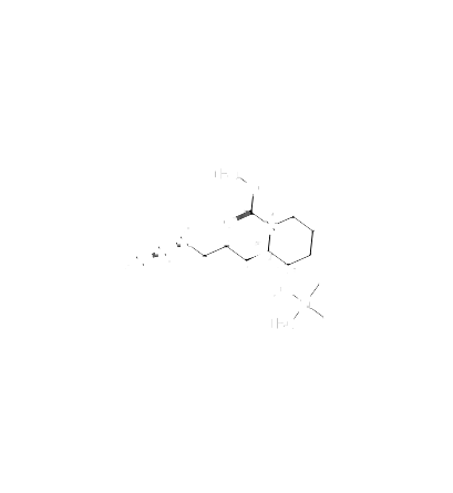 CC(C)(C)OC(=O)N1CCC[C@H](O[Si](C)(C)C(C)(C)C)[C@H]1CCCN=[N+]=[N-]